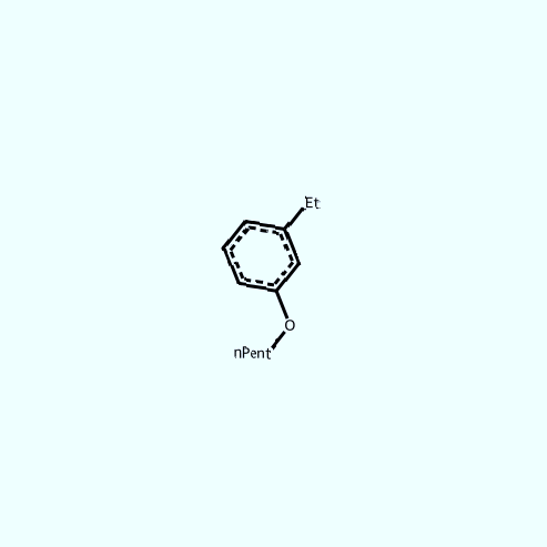 CCCCCOc1cccc(CC)c1